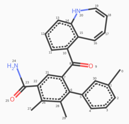 Cc1cccc(-c2c(C(=O)c3cccc4c3C=CC=CN4)cc(C(N)=O)c(C)c2C)c1